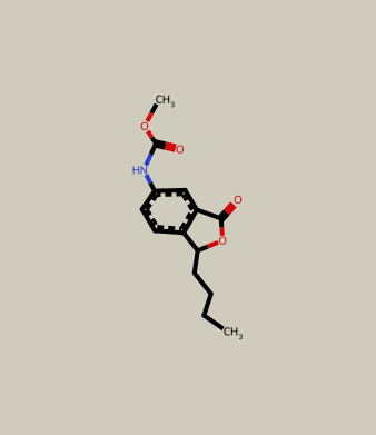 CCCCC1OC(=O)c2cc(NC(=O)OC)ccc21